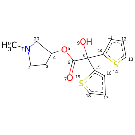 CN1CCC(OC(=O)C(O)(c2cccs2)c2cccs2)C1